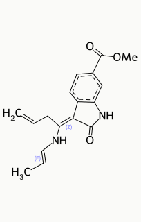 C=CC/C(N/C=C/C)=C1/C(=O)Nc2cc(C(=O)OC)ccc21